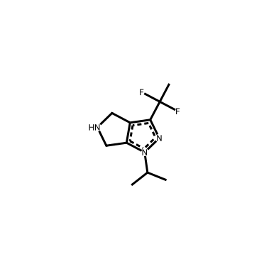 CC(C)n1nc(C(C)(F)F)c2c1CNC2